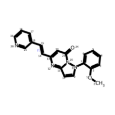 COc1ccccc1-n1ccc2nc(/C=C/c3cccnc3)cc(=O)n21